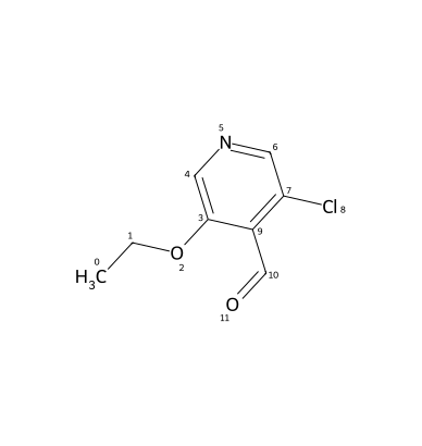 CCOc1cncc(Cl)c1C=O